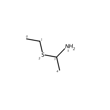 CCSC(C)N